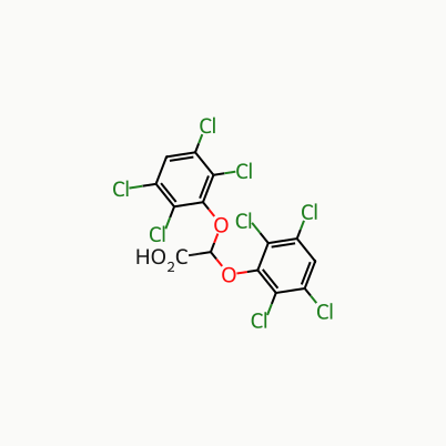 O=C(O)C(Oc1c(Cl)c(Cl)cc(Cl)c1Cl)Oc1c(Cl)c(Cl)cc(Cl)c1Cl